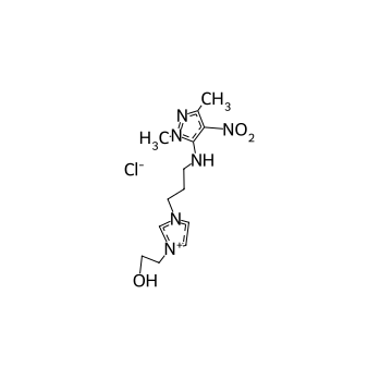 Cc1nn(C)c(NCCCn2cc[n+](CCO)c2)c1[N+](=O)[O-].[Cl-]